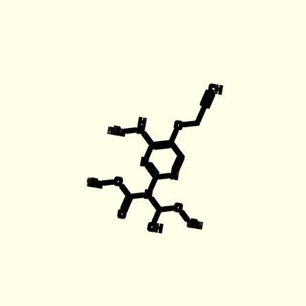 C#CCOc1cnc(N(C(=O)OC(C)(C)C)C(O)OC(C)(C)C)nc1NCCCC